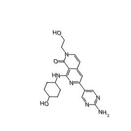 Nc1ncc(-c2cc3ccn(CCO)c(=O)c3c(NC3CCC(O)CC3)n2)cn1